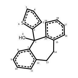 OC1(c2cccs2)c2ccccc2CCc2ccccc21